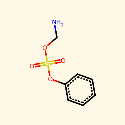 NCOS(=O)(=O)Oc1ccccc1